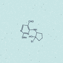 CCC1(O)CCCC1Nc1nc(SC)ncc1C=O